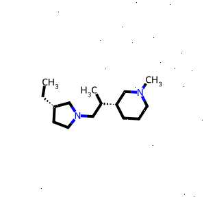 CC[C@H]1CCN(CC(C)[C@H]2CCCN(C)C2)C1